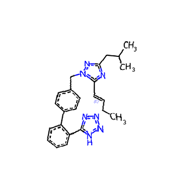 CC/C=C/c1nc(CC(C)C)nn1Cc1ccc(-c2ccccc2-c2nnn[nH]2)cc1